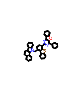 c1ccc(-c2nc(-c3ccc(Cn4c5ccccc5c5ccc6ccccc6c54)c4c3sc3ccccc34)nc3c2oc2ccccc23)cc1